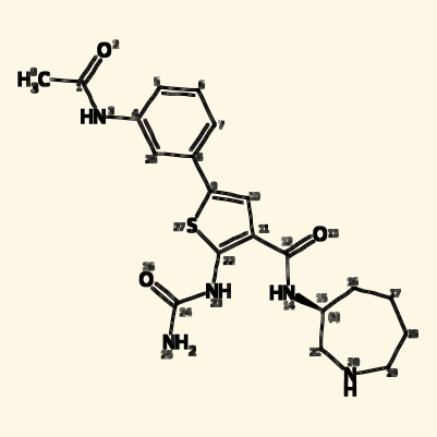 CC(=O)Nc1cccc(-c2cc(C(=O)N[C@H]3CCCCNC3)c(NC(N)=O)s2)c1